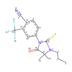 CCCN1C(=S)N(c2ccc(C#N)c(C(F)(F)F)c2)C(=O)C1(C)C